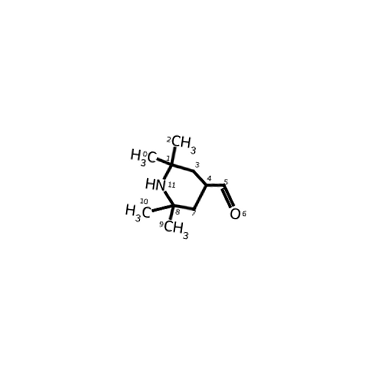 CC1(C)CC([C]=O)CC(C)(C)N1